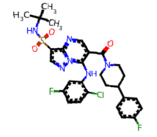 CC(C)(C)NS(=O)(=O)c1cnn2c(Nc3cc(F)ccc3Cl)c(C(=O)N3CCC(c4ccc(F)cc4)CC3)cnc12